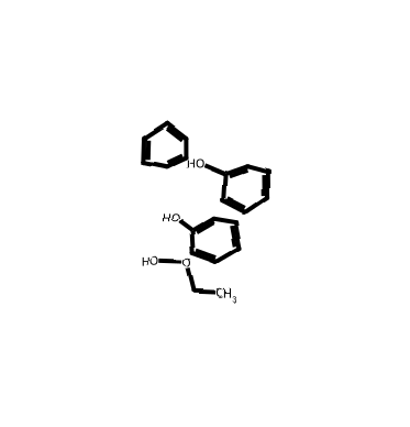 CCOO.Oc1ccccc1.Oc1ccccc1.c1ccccc1